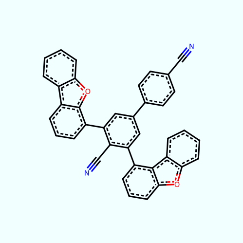 N#Cc1ccc(-c2cc(-c3cccc4c3oc3ccccc34)c(C#N)c(-c3cccc4oc5ccccc5c34)c2)cc1